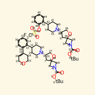 CC(C)(C)OC(=O)N1CC2(C[C@H](N3CCC(c4ccccc4C4=CCOCC4)CC3)CO2)C1.CC(C)(C)OC(=O)N1CC2(C[C@H](N3CCC(c4ccccc4OS(=O)(=O)C(F)(F)F)CC3)CO2)C1